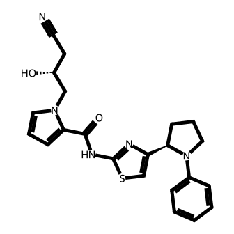 N#CC[C@@H](O)Cn1cccc1C(=O)Nc1nc([C@H]2CCCN2c2ccccc2)cs1